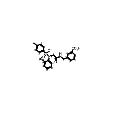 Cc1ccc(S(=O)(=O)N(CC(=O)NCc2cccc(C(=O)O)c2)c2ccccc2Br)cc1